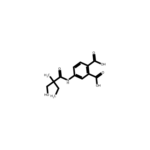 CCC(C)(CO)C(=O)Nc1ccc(C(=O)O)c(C(=O)O)c1